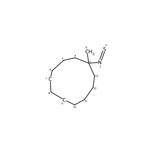 CC1(N=S)CCCCCCCCCC1